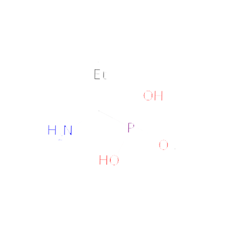 CC[C@@H](N)P(=O)(O)O